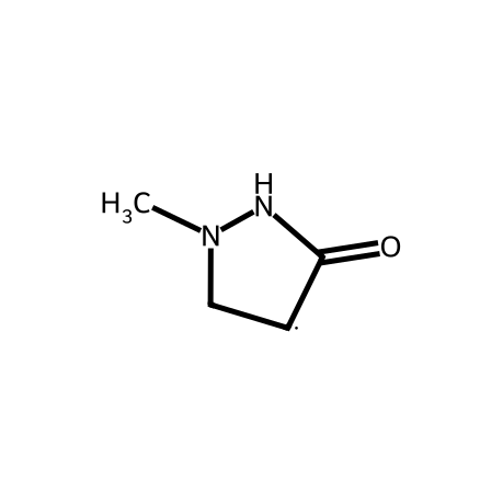 CN1C[CH]C(=O)N1